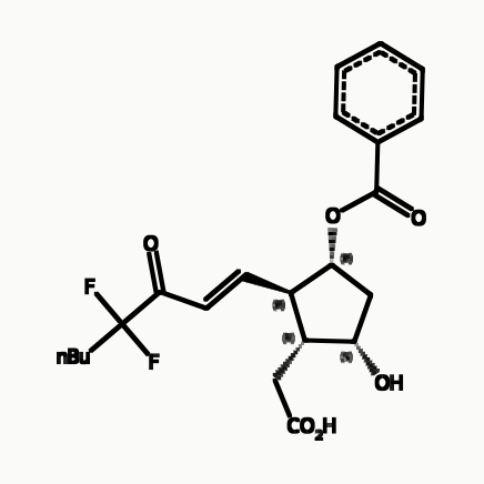 CCCCC(F)(F)C(=O)C=C[C@@H]1[C@@H](CC(=O)O)[C@@H](O)C[C@H]1OC(=O)c1ccccc1